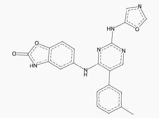 Cc1cccc(-c2cnc(Nc3cnco3)nc2Nc2ccc3oc(=O)[nH]c3c2)c1